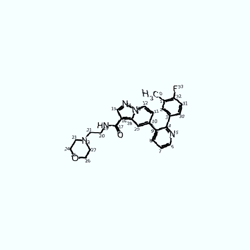 Cc1cc(-c2ncccc2-c2ccn3ncc(C(=O)NCCN4CCOCC4)c3c2)ccc1F